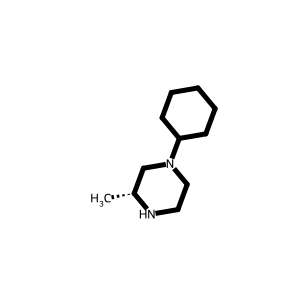 C[C@@H]1CN(C2CCCCC2)CCN1